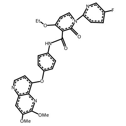 CCOc1ccn(-c2ccc(F)cn2)c(=O)c1C(=O)Nc1ccc(Oc2ccnc3cc(OC)c(OC)nc23)cc1